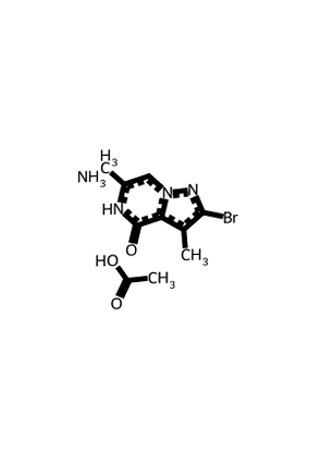 CC(=O)O.Cc1cn2nc(Br)c(C)c2c(=O)[nH]1.N